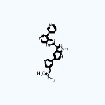 CN(C)Cc1cncc(-c2cnc3[nH]nc(-c4nc5c(-c6cccnc6)cncc5[nH]4)c3c2)c1